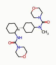 CN(C(=O)N1CCOCC1)C1CCC([C@H]2CCCC[C]2NC(=O)N2CCOCC2)CC1